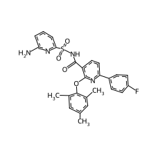 Cc1cc(C)c(Oc2nc(-c3ccc(F)cc3)ccc2C(=O)NS(=O)(=O)c2cccc(N)n2)c(C)c1